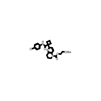 COCCOC(=O)N1CCCc2nc(C3(C(=O)Nc4ccc(Cl)cc4)CCC3)ccc21